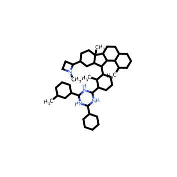 CC1CCCC(C2NC(C3CCCCC3)NC(C3CCCC(C4C5C6C(C)CCCC6CCC5C5(C)CCC(C6CCN6C)CC45)C3C)N2)C1